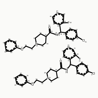 O=C(NC(c1ccc(Cl)cc1)c1ccncc1F)C1CCN(CCOc2ccccc2)CC1.O=C(NC(c1ccc(Cl)cc1)c1ccncc1F)C1CCN(CCOc2ccccc2)CC1